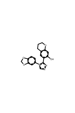 Oc1cc2c(cc1-c1nncn1-c1ccc3c(c1)OCO3)CCCO2